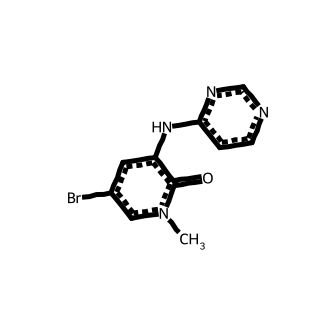 Cn1cc(Br)cc(Nc2ccncn2)c1=O